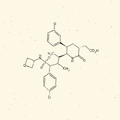 CC(C(C)[C@@H]1NC(=O)[C@@H](CC(=O)O)C[C@@H]1c1cccc(Cl)c1)C(c1ccc(Cl)cc1)S(=O)(=O)NC1COC1